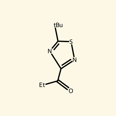 CCC(=O)c1nsc(C(C)(C)C)n1